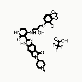 CN1CCC(N2Cc3cc4[nH]c(-c5c(NC[C@@H](O)COc6ccc7c(c6Cl)OCO7)cc[nH]c5=O)nc4cc3C2=O)CC1.O=C(O)C(F)(F)F